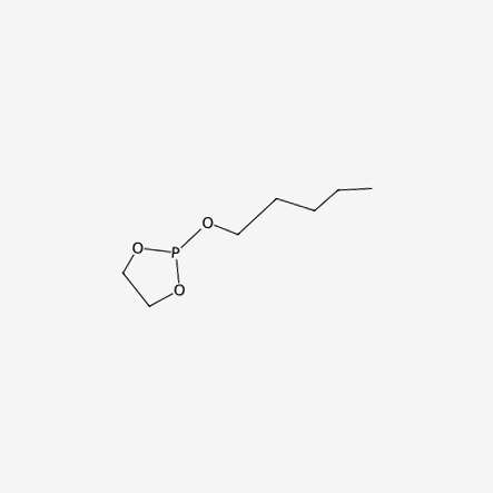 CCCCCOP1OCCO1